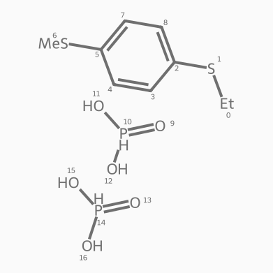 CCSc1ccc(SC)cc1.O=[PH](O)O.O=[PH](O)O